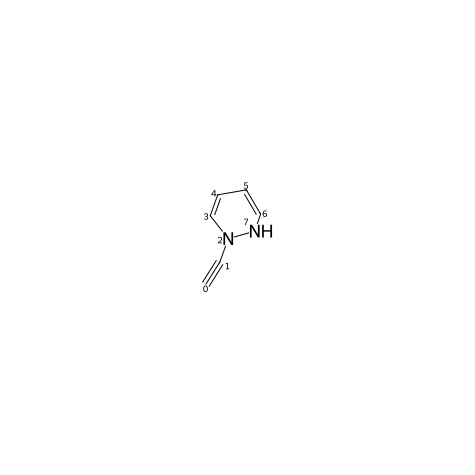 C#CN1C=CC=CN1